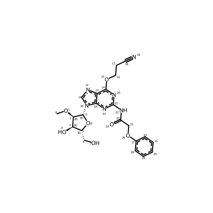 CO[C@@H]1[C@H](O)[C@@H](CO)O[C@H]1n1cnc2c(OCCC#N)nc(NC(=O)COc3ccccc3)nc21